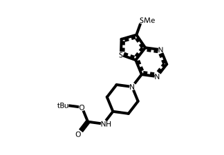 CSc1csc2c(N3CCC(NC(=O)OC(C)(C)C)CC3)ncnc12